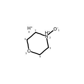 [H+].[O-][NH+]1CCOCC1